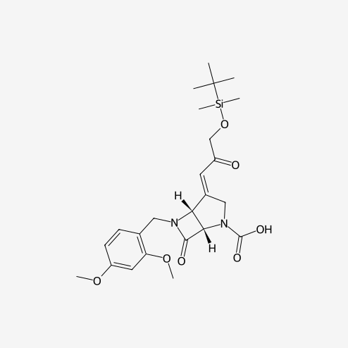 COc1ccc(CN2C(=O)[C@@H]3[C@H]2/C(=C/C(=O)CO[Si](C)(C)C(C)(C)C)CN3C(=O)O)c(OC)c1